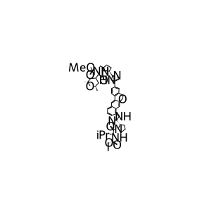 COC(=O)N[C@H](C(=O)N1[C@@H](C)CC[C@H]1c1ncc(-c2ccc3c(c2)COc2cc4c(ccc5nc([C@@H]6CC[C@H](C)N6C(=O)[C@@H](NC(=O)OI)C(C)C)[nH]c54)cc2-3)[nH]1)C1C[C@@H](C)O[C@H](C)C1